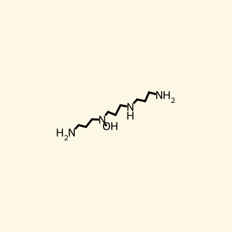 NCCCNCCCN(O)CCCN